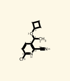 CC(OC1CCC1)c1ccc(Cl)nc1C#N